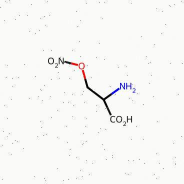 NC(CO[N+](=O)[O-])C(=O)O